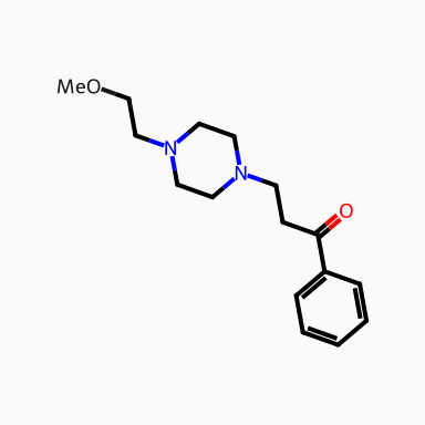 COCCN1CCN(CCC(=O)c2ccccc2)CC1